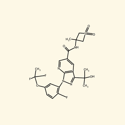 CC1(NC(=O)c2cnc3c(c2)c(C(C)(C)O)nn3-c2cc(OC(C)(F)F)ccc2F)CS(=O)(=O)C1